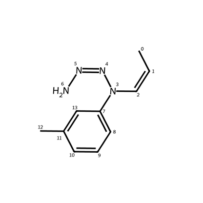 C/C=C\N(/N=N\N)c1cccc(C)c1